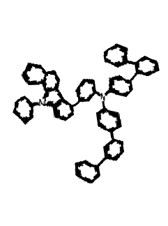 c1ccc(-c2cccc(-c3ccc(N(c4ccc(-c5ccccc5-c5ccccc5)cc4)c4cccc(-c5cccc6c5c5ccc7ccccc7c5n6-c5ccccc5)c4)cc3)c2)cc1